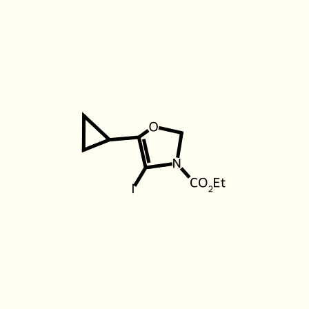 CCOC(=O)N1COC(C2CC2)=C1I